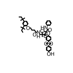 CCC(C)(C)c1ccc(OCCCC(=O)NCC(C)(C)C(=O)C(Cl)(Oc2ccc(S(=O)(=O)c3ccc(O)cc3)cc2)C(=O)Nc2ccccc2)c(C(C)(C)CC)c1